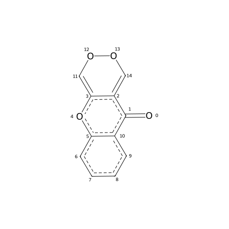 O=c1c2c(oc3ccccc13)=COOC=2